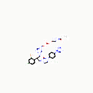 CC(=O)NCCOC(=O)OCN1C=NN(C[C@](O)(c2ccc(F)cc2F)[C@@H](C)N2CCN(c3ccc(-n4cnnn4)cc3)C2=O)C1.Cl